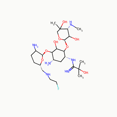 CN[C@@H]1C(O)[C@@H](OC2C(O)C(O[C@H]3O[C@H](CNCCF)CCC3N)[C@@H](N)C[C@H]2NC(=N)C(C)(C)O)OCC1(C)O